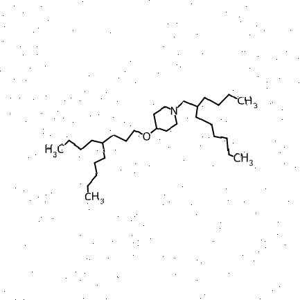 CCCCCCC(CCCC)CN1CCC(OCCCC(CCCC)CCCCC)CC1